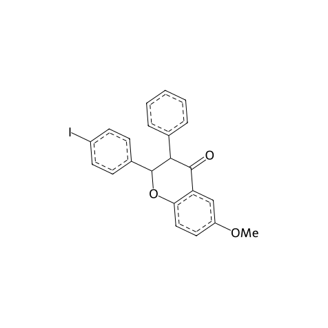 COc1ccc2c(c1)C(=O)C(c1ccccc1)C(c1ccc(I)cc1)O2